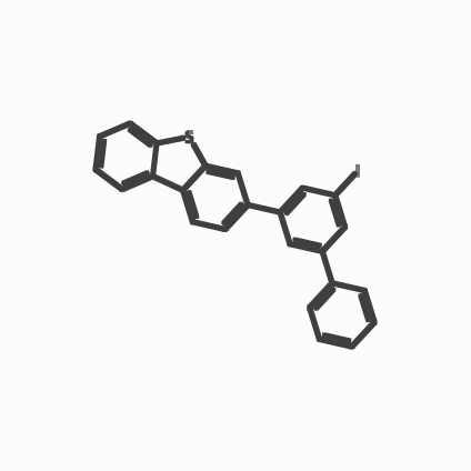 Ic1cc(-c2ccccc2)cc(-c2ccc3c(c2)sc2ccccc23)c1